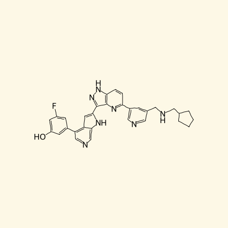 Oc1cc(F)cc(-c2cncc3[nH]c(-c4n[nH]c5ccc(-c6cncc(CNCC7CCCC7)c6)nc45)cc23)c1